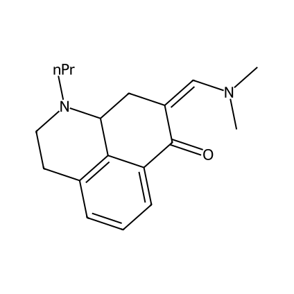 CCCN1CCc2cccc3c2C1CC(=CN(C)C)C3=O